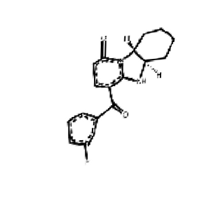 O=C(c1cccc(F)c1)c1ccc(=O)n2c1N[C@@H]1CCCC[C@H]12